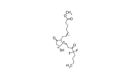 CCCCC(F)(F)C(=O)CC[C@@H]1C(C/C=C\CCCC(=O)OC)C(=O)C[C@H]1S